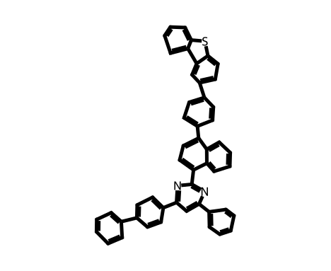 c1ccc(-c2ccc(-c3cc(-c4ccccc4)nc(-c4ccc(-c5ccc(-c6ccc7sc8ccccc8c7c6)cc5)c5ccccc45)n3)cc2)cc1